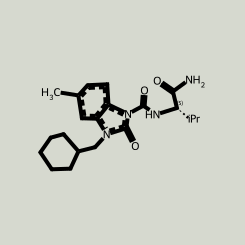 Cc1ccc2c(c1)n(CC1CCCCC1)c(=O)n2C(=O)N[C@H](C(N)=O)C(C)C